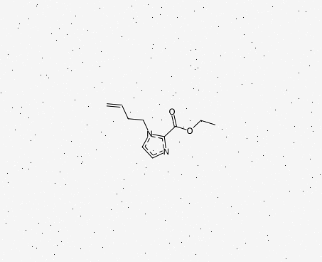 C=CCCn1ccnc1C(=O)OCC